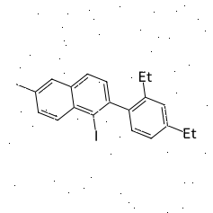 CCc1ccc(-c2ccc3cc(C)ccc3c2I)c(CC)c1